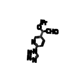 CC(C)O[C@@H](C=O)c1ccc(-n2cnnn2)nc1